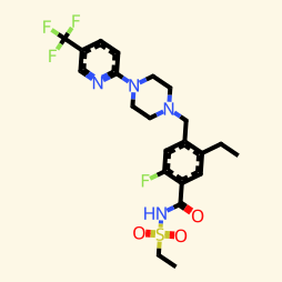 CCc1cc(C(=O)NS(=O)(=O)CC)c(F)cc1CN1CCN(c2ccc(C(F)(F)F)cn2)CC1